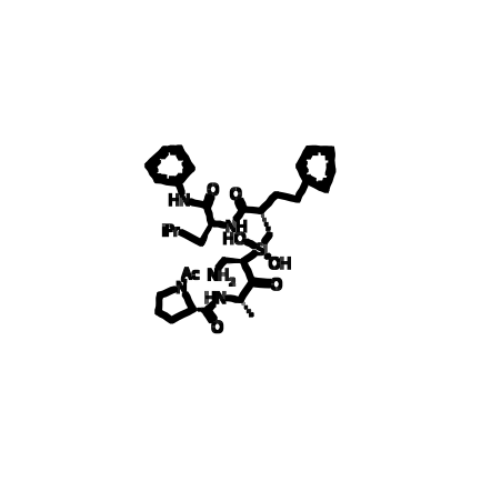 CC(=O)N1CCC[C@H]1C(=O)N[C@@H](C)C(=O)[C@@H](CN)[Si](O)(O)C[C@@H](CCc1ccccc1)C(=O)N[C@@H](CC(C)C)C(=O)Nc1ccccc1